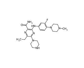 CCc1nc(C(N)=O)c(Nc2ccc(N3CCN(C)CC3)c(F)c2)nc1N1CCNCC1